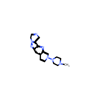 CN1CCN(N2C=Cc3cc4nn5c(c4nc3=C2)=CN=CC5)CC1